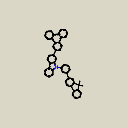 CC1(C)c2ccccc2-c2ccc(-c3cccc(-n4c5ccccc5c5ccc(-c6ccc7c8ccccc8c8ccccc8c7c6)cc54)c3)cc21